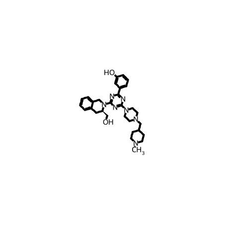 CN1CCC(CN2CCN(c3nc(-c4cccc(O)c4)nc(N4Cc5ccccc5C[C@@H]4CO)n3)CC2)CC1